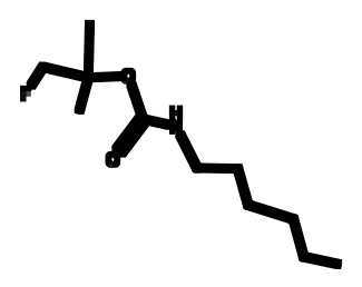 CCCCCCNC(=O)OC(C)(C)CF